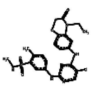 CCN1C(=O)COc2ccc(Nc3nc(Nc4ccc(C)c(S(=O)(=O)NC)c4)ncc3Cl)cc21